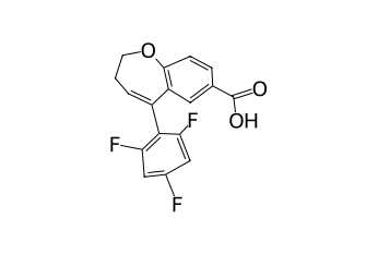 O=C(O)c1ccc2c(c1)C(c1c(F)cc(F)cc1F)=CCCO2